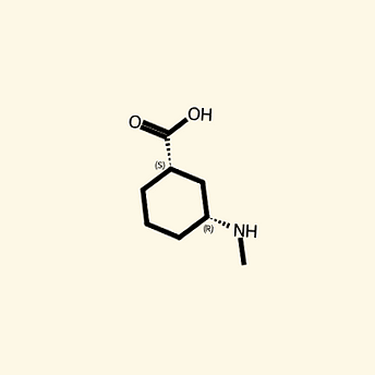 CN[C@@H]1CCC[C@H](C(=O)O)C1